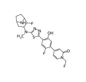 CN(c1nnc(-c2cc(F)c(-c3ccn(CF)c(=O)c3)cc2O)s1)C1CC2CCC(N2)C1F